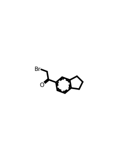 O=C(CBr)c1ccc2c(c1)CCC2